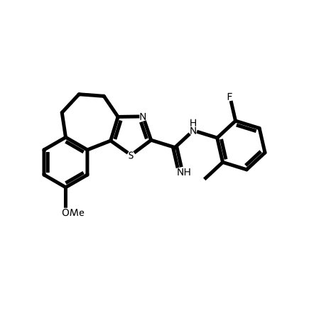 COc1ccc2c(c1)-c1sc(C(=N)Nc3c(C)cccc3F)nc1CCC2